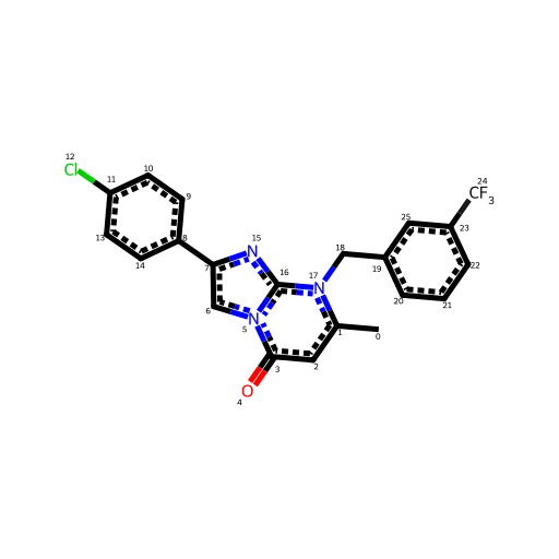 Cc1cc(=O)n2cc(-c3ccc(Cl)cc3)nc2n1Cc1cccc(C(F)(F)F)c1